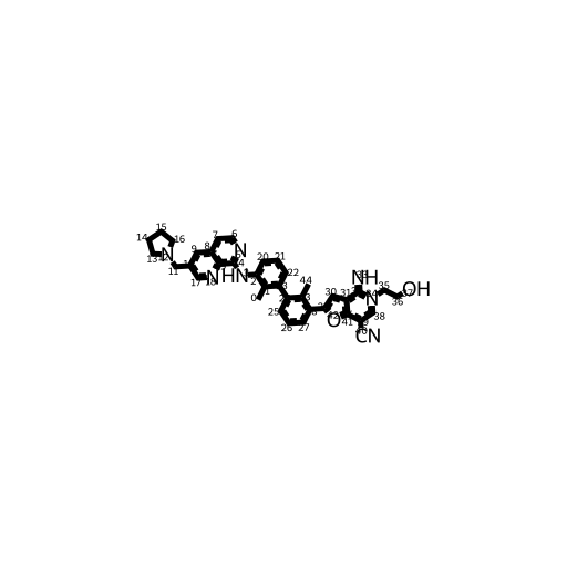 Cc1c(Nc2nccc3cc(CN4CCCC4)cnc23)cccc1-c1cccc(-c2cc3c(=N)n(CCO)cc(C#N)c3o2)c1C